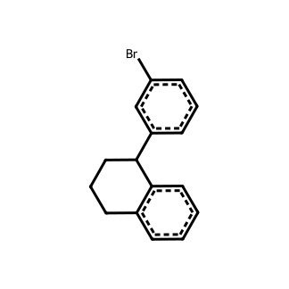 Brc1cccc(C2CCCc3ccccc32)c1